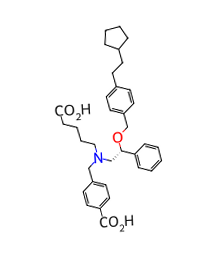 O=C(O)CCCCN(Cc1ccc(C(=O)O)cc1)C[C@H](OCc1ccc(CCC2CCCC2)cc1)c1ccccc1